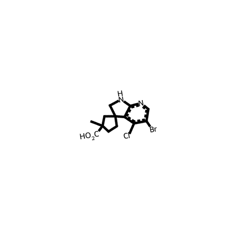 CC1(C(=O)O)CCC2(CNc3ncc(Br)c(Cl)c32)C1